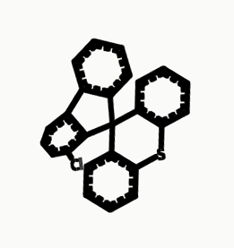 Clc1cccc2c1C1(c3ccccc3Sc3ccccc31)c1ccccc1-2